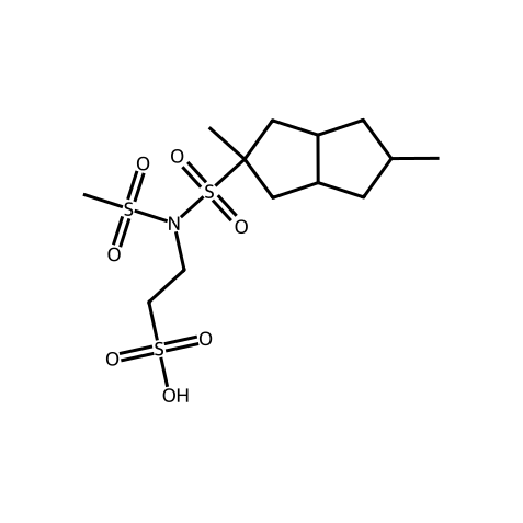 CC1CC2CC(C)(S(=O)(=O)N(CCS(=O)(=O)O)S(C)(=O)=O)CC2C1